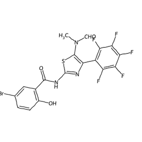 CN(C=O)c1sc(NC(=O)c2cc(Br)ccc2O)nc1-c1c(F)c(F)c(F)c(F)c1F